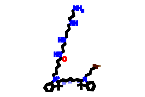 CCCCN1/C(=C/C=C/C=C/C2=[N+](CCCCCC(=O)NCCCNCCCCNCCCN)c3ccccc3C2(C)C)C(C)(C)c2ccccc21.[Br-]